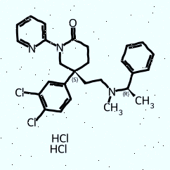 C[C@H](c1ccccc1)N(C)CC[C@]1(c2ccc(Cl)c(Cl)c2)CCC(=O)N(c2ccccn2)C1.Cl.Cl